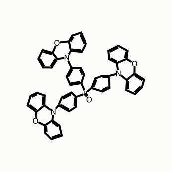 O=P(c1ccc(N2c3ccccc3Oc3ccccc32)cc1)(c1ccc(N2c3ccccc3Oc3ccccc32)cc1)c1ccc(N2c3ccccc3Oc3ccccc32)cc1